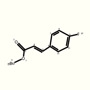 CCCCOC(=O)C=Cc1ccc(F)cc1